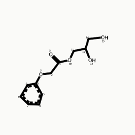 O=C(COc1ccccc1)OCC(O)CO